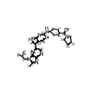 Cc1nc2ncc(-c3c[nH]c4nc(NC5CCC(C(=O)N6CCCC6)CC5)ncc34)nc2n1CC(F)F